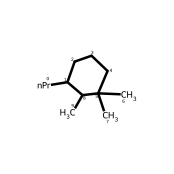 CCCC1CCCC(C)(C)C1C